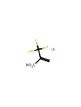 C=C(C(=O)O)C(F)(F)F.I